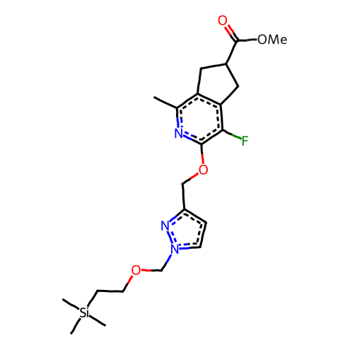 COC(=O)C1Cc2c(C)nc(OCc3ccn(COCC[Si](C)(C)C)n3)c(F)c2C1